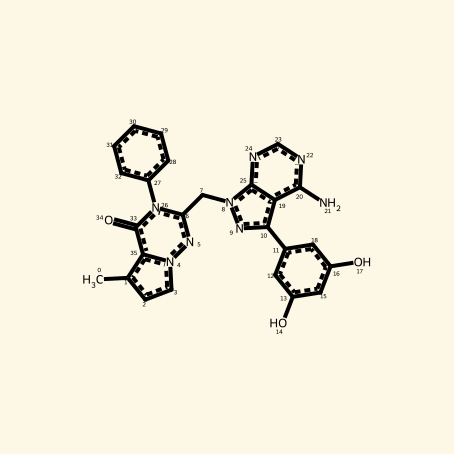 Cc1ccn2nc(Cn3nc(-c4cc(O)cc(O)c4)c4c(N)ncnc43)n(-c3ccccc3)c(=O)c12